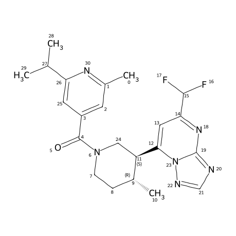 Cc1cc(C(=O)N2CC[C@@H](C)[C@H](c3cc(C(F)F)nc4ncnn34)C2)cc(C(C)C)n1